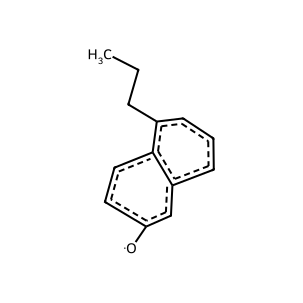 CCCc1cccc2cc([O])ccc12